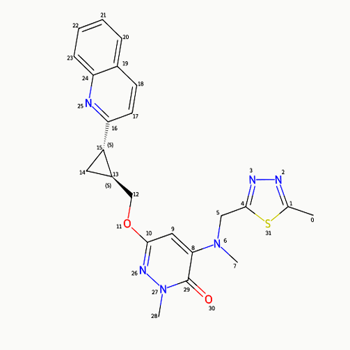 Cc1nnc(CN(C)c2cc(OC[C@H]3C[C@@H]3c3ccc4ccccc4n3)nn(C)c2=O)s1